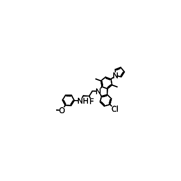 COc1cccc(NCC(F)Cn2c3ccc(Cl)cc3c3c(C)c(-n4cccc4)cc(C)c32)c1